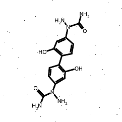 NC(=O)N(N)c1ccc(-c2ccc(N(N)C(N)=O)cc2O)c(O)c1